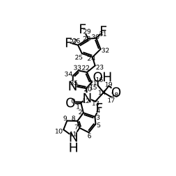 O=C(c1c(F)ccc2c1CCN2)N(CC1(CO)COC1)c1cc(Cc2cc(F)c(F)c(F)c2)ccn1